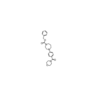 O=C(OCc1ccccc1)N1CCCN(c2ccc(C(=O)N3CCOCC3)cc2)CC1